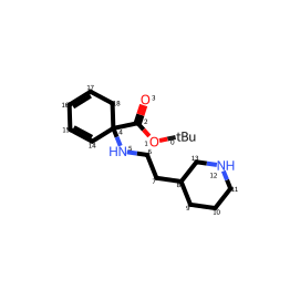 CC(C)(C)OC(=O)C1(NCCC2CCCNC2)C=CC=CC1